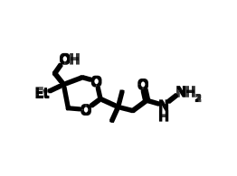 CCC1(CO)COC(C(C)(C)CC(=O)NN)OC1